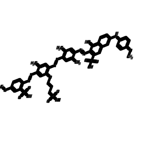 COc1ccc(Nc2ccc3c(O)c(N=Nc4cc(C)c(N=Nc5cc(C)c(N=Nc6ccc(OC)cc6S(=O)(=O)O)cc5OCCCS(=O)(=O)O)cc4C)c(S(=O)(=O)O)cc3c2)cc1